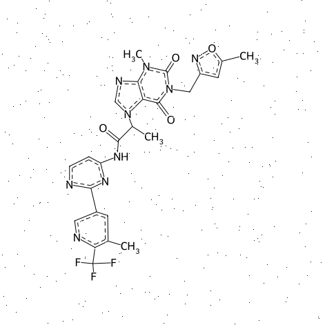 Cc1cc(Cn2c(=O)c3c(ncn3C(C)C(=O)Nc3ccnc(-c4cnc(C(F)(F)F)c(C)c4)n3)n(C)c2=O)no1